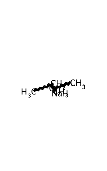 CCCCCCCCC(C)OC(C)CCCCCCCC.[NaH]